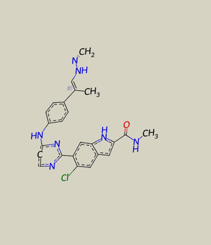 C=NN/C=C(\C)c1ccc(Nc2ccnc(-c3cc4[nH]c(C(=O)NC)cc4cc3Cl)n2)cc1